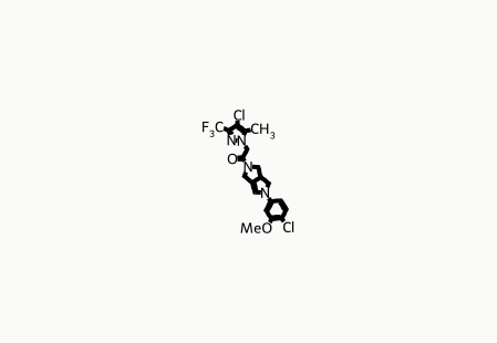 COc1cc(N2C=C3CN(C(=O)Cn4nc(C(F)(F)F)c(Cl)c4C)CC3C2)ccc1Cl